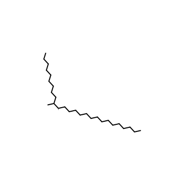 CCCCCCCCCCCCCCC[CH]C(C)CCCCCCCCC